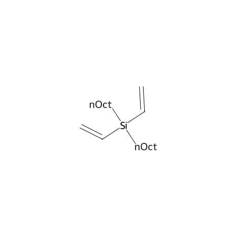 C=C[Si](C=C)(CCCCCCCC)CCCCCCCC